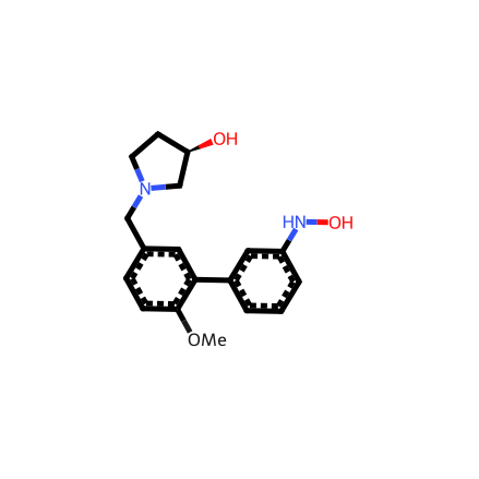 COc1ccc(CN2CC[C@@H](O)C2)cc1-c1cccc(NO)c1